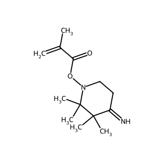 C=C(C)C(=O)ON1CCC(=N)C(C)(C)C1(C)C